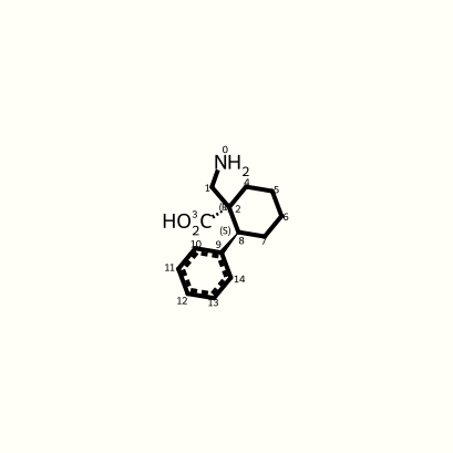 NC[C@@]1(C(=O)O)CCCC[C@H]1c1ccccc1